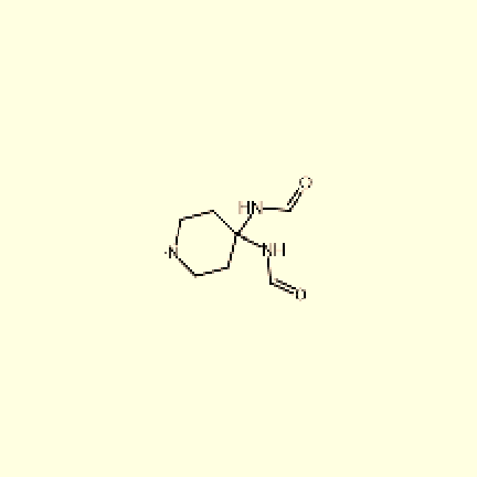 O=CNC1(NC=O)CC[N]CC1